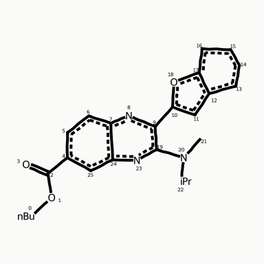 CCCCOC(=O)c1ccc2nc(-c3cc4ccccc4o3)c(N(C)C(C)C)nc2c1